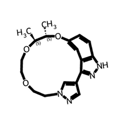 C[C@@H]1OCCOCCn2cc(cn2)-c2n[nH]c3ccc(cc23)O[C@H]1C